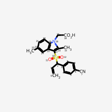 C=CC(c1ccc(C#N)cc1)S(=O)(=O)c1c(C)n(CC(=O)O)c2ccc(C)cc12